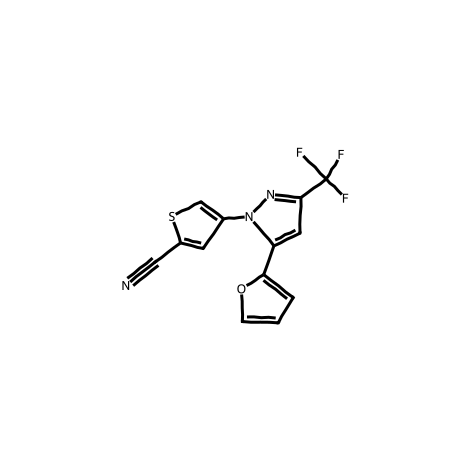 N#Cc1cc(-n2nc(C(F)(F)F)cc2-c2ccco2)cs1